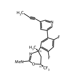 CC#Cc1cncc(-c2cc([C@]3(C)C[C@@H](C(F)(F)F)OC(NC)=N3)c(F)cc2F)c1